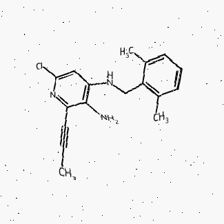 CC#Cc1nc(Cl)cc(NCc2c(C)cccc2C)c1N